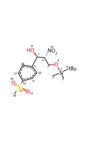 CC(C)(C)[Si](C)(C)OC[C@H]([C@H](O)c1ccc(S(C)(=O)=O)cc1)[N+](=O)[O-]